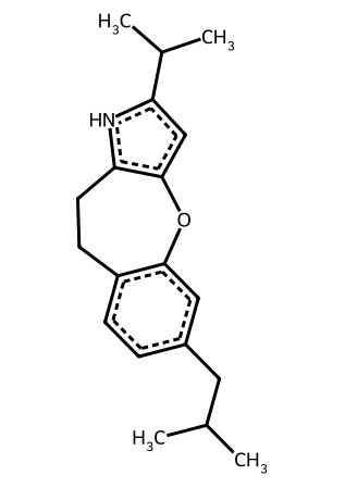 CC(C)Cc1ccc2c(c1)Oc1cc(C(C)C)[nH]c1CC2